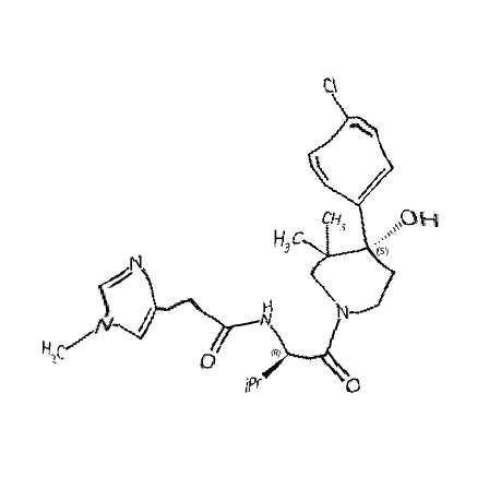 CC(C)[C@@H](NC(=O)Cc1cn(C)cn1)C(=O)N1CC[C@](O)(c2ccc(Cl)cc2)C(C)(C)C1